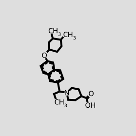 CCC(c1ccc2cc(OC3CCC(C)C(C)C3)ccc2c1)N1CCC(C(=O)O)CC1